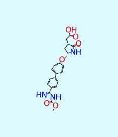 COC(=O)NC(=N)c1ccc(-c2ccc(OC[C@@H]3C[C@@H](CC(=O)O)C(=O)N3)cc2)cc1